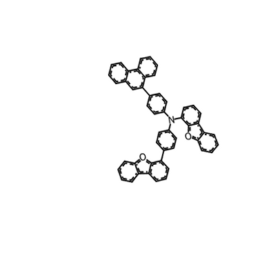 c1ccc2c(c1)cc(-c1ccc(N(c3ccc(-c4cccc5c4oc4ccccc45)cc3)c3cccc4c3oc3ccccc34)cc1)c1ccccc12